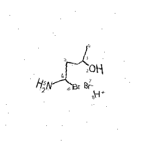 CC(O)CC(N)Br.[Br-].[H+]